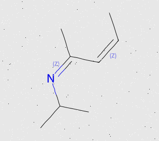 C/C=C\C(C)=N/C(C)C